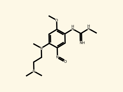 CNC(=N)Nc1cc(N=O)c(N(C)CCN(C)C)cc1OC